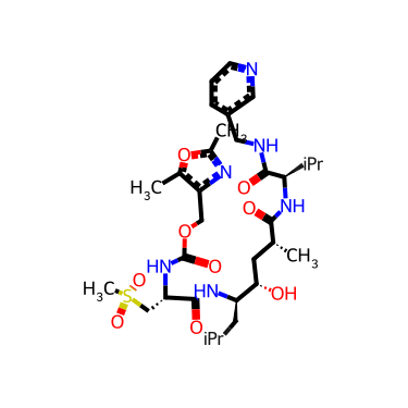 Cc1nc(COC(=O)N[C@@H](CS(C)(=O)=O)C(=O)N[C@H](CC(C)C)[C@@H](O)C[C@@H](C)C(=O)N[C@@H](C(=O)NCc2cccnc2)C(C)C)c(C)o1